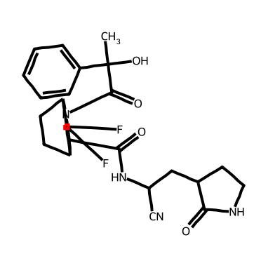 CC(O)(C(=O)N1C2CCC(C1C(=O)NC(C#N)CC1CCNC1=O)C(F)(F)C2)c1ccccc1